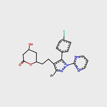 CC(C)c1nn(-c2ncccn2)c(-c2ccc(F)cc2)c1CCC1CC(O)CC(=O)O1